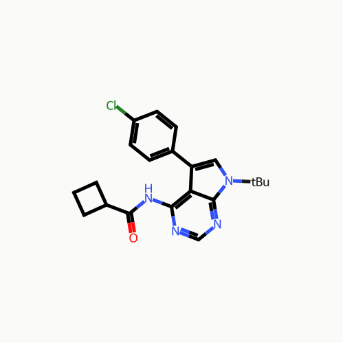 CC(C)(C)n1cc(-c2ccc(Cl)cc2)c2c(NC(=O)C3CCC3)ncnc21